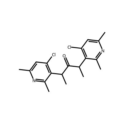 Cc1cc(Cl)c(C(C)C(=O)C(C)c2c(Cl)cc(C)nc2C)c(C)n1